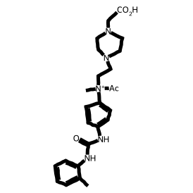 CC(=O)[N+](C)(CCN1CCN(CC(=O)O)CC1)c1ccc(NC(=O)Nc2ccccc2C)cc1